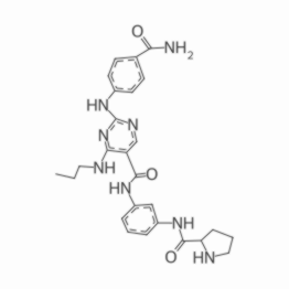 CCCNc1nc(Nc2ccc(C(N)=O)cc2)ncc1C(=O)Nc1cccc(NC(=O)C2CCCN2)c1